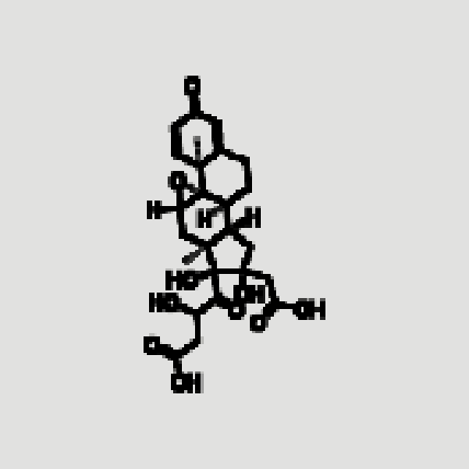 C[C@]12C=CC(=O)C=C1CC[C@H]1[C@@H]3C[C@](O)(CC(=O)O)[C@](O)(C(=O)C(O)CC(=O)O)[C@@]3(C)C[C@@H]3O[C@@]312